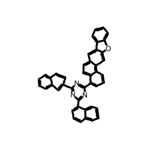 c1ccc2cc(-c3nc(-c4cccc5ccccc45)nc(-c4cccc5c4ccc4cc6c(cc45)oc4ccccc46)n3)ccc2c1